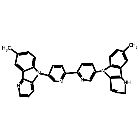 Cc1ccc2c(c1)c1c(n2-c2ccc(-c3ccc(-n4c5ccc(C)cc5c5ncccc54)cn3)nc2)C=CCN1